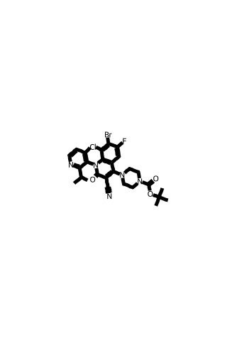 Cc1ccnc(C(C)C)c1-n1c(=O)c(C#N)c(N2CCN(C(=O)OC(C)(C)C)CC2)c2cc(F)c(Br)c(Cl)c21